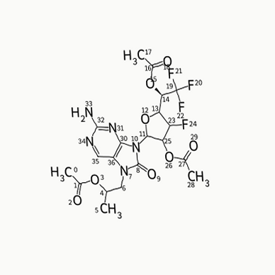 CC(=O)OC(C)Cn1c(=O)n(C2OC([C@@H](OC(C)=O)C(F)(F)F)C(F)C2OC(C)=O)c2nc(N)ncc21